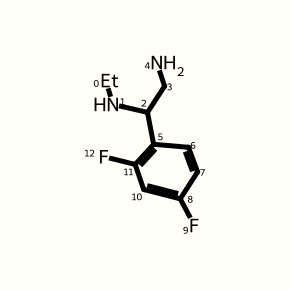 CCNC(CN)c1ccc(F)cc1F